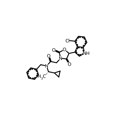 C[C@@H](C1CC1)N(Cc1ccccc1)C(=O)CN1C(=O)OC(c2c[nH]c3cccc(Cl)c23)C1=O